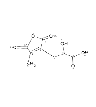 CC1=C(CC(O)C(=O)O)C(=O)OC1=O